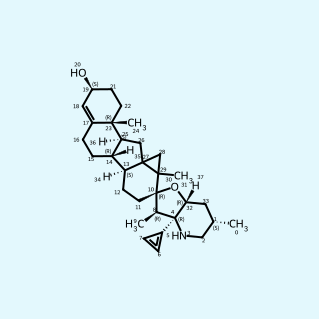 C[C@@H]1CN[C@@]2(C3=C=C3)[C@@H](C)[C@@]3(CC[C@H]4[C@@H]5CCC6=C[C@@H](O)CC[C@]6(C)[C@H]5CC45CC53C)O[C@@H]2C1